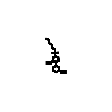 CCCCCCC(C)(C)c1ccc(C2CCC[C@@H](O)C2)c(O)c1